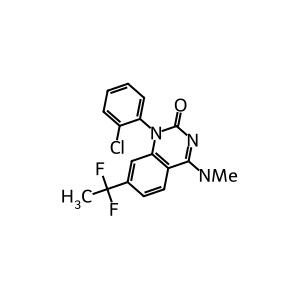 CNc1nc(=O)n(-c2ccccc2Cl)c2cc(C(C)(F)F)ccc12